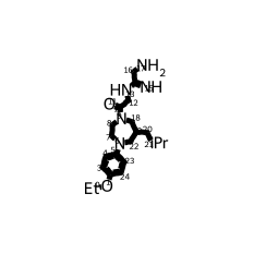 CCOc1ccc(N2CCN(C(=O)CNC(=N)CN)CC(CC(C)C)C2)cc1